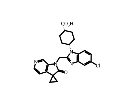 O=C1N(Cc2nc3cc(Cl)ccc3n2[C@H]2CC[C@@H](C(=O)O)CC2)c2cnccc2C12CC2